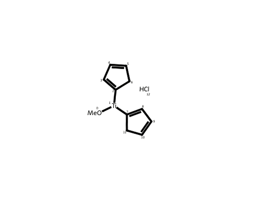 C[O][Ti]([C]1=CC=CC1)[C]1=CC=CC1.Cl